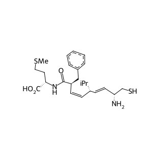 CSCC[C@H](NC(=O)[C@H](/C=C\[C@@H](/C=C/[C@@H](N)CS)C(C)C)Cc1ccccc1)C(=O)O